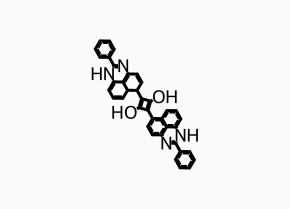 OC1=C(c2ccc3c4c(cccc24)NC(c2ccccc2)=N3)C(O)=C1C1C=CC2=C3C(=CC=CC31)NC(c1ccccc1)=N2